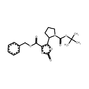 CC(C)(C)OC(=O)N1CCCC1c1oc(=O)oc1C(=O)OCc1ccccc1